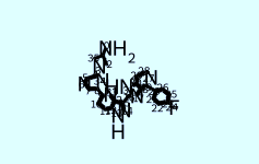 NC1CN(c2cncc(-c3ccc4[nH]nc(-c5nc6c(-c7ccc(F)cc7)nccc6[nH]5)c4n3)n2)C1